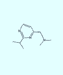 CC(C)c1nccc(CN(C)C)n1